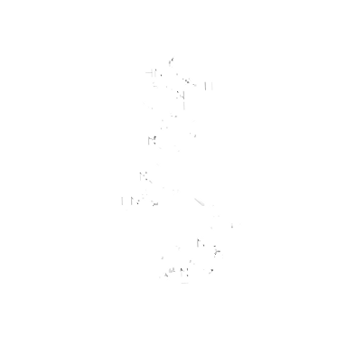 C[C@@H]1CC(=O)Nc2cccc(-c3cccc4cc(-c5cnc(C(N)=O)c(CCC#Cc6cccc7c6CN(C6CCC(=O)NC6=O)C7=O)c5)ncc34)c2N1